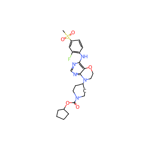 CS(=O)(=O)c1ccc(Nc2ncnc3c2OCCN3C2CCN(C(=O)OC3CCCC3)CC2)c(F)c1